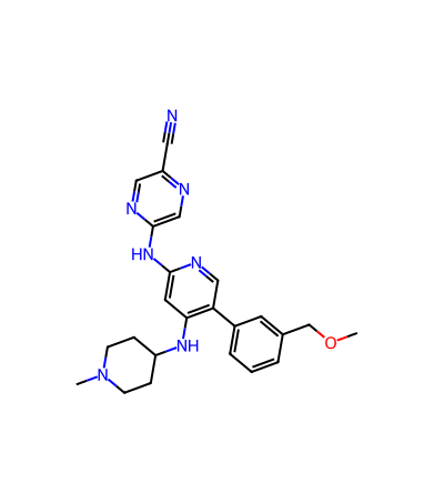 COCc1cccc(-c2cnc(Nc3cnc(C#N)cn3)cc2NC2CCN(C)CC2)c1